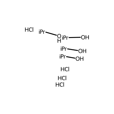 CC(C)O.CC(C)O.CC(C)O.CC(C)O.Cl.Cl.Cl.Cl